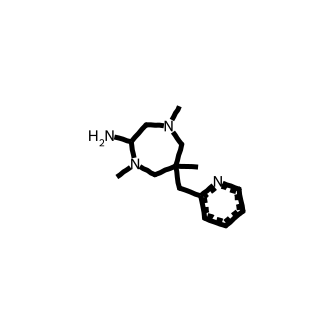 CN1CC(N)N(C)CC(C)(Cc2ccccn2)C1